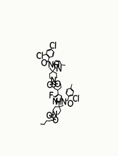 CCCCS(=O)(=O)N1CCC(CNC(=O)c2ccc(C)cc2Cl)(c2ccc(C(CC)CS(=O)(=O)N3CCC(CNC(=O)c4ccc(Cl)cc4Cl)(c4cccc(C)n4)CC3)c(F)n2)CC1